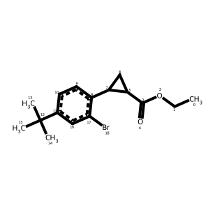 CCOC(=O)C1CC1c1ccc(C(C)(C)C)cc1Br